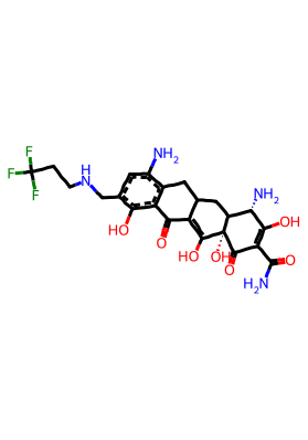 NC(=O)C1=C(O)[C@@H](N)C2CC3Cc4c(N)cc(CNCCC(F)(F)F)c(O)c4C(=O)C3=C(O)[C@]2(O)C1=O